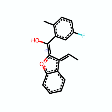 CC=c1/c(=C(/O)c2cc(F)ccc2C)oc2ccccc12